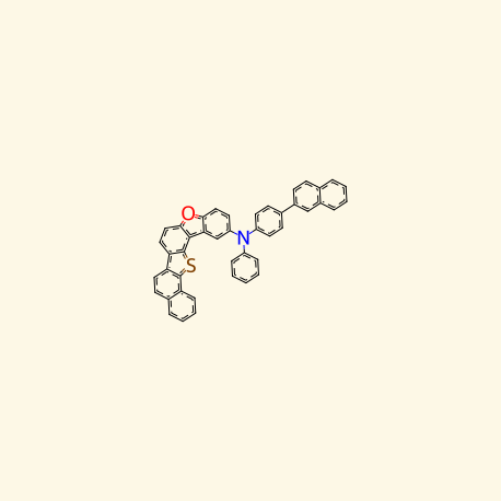 c1ccc(N(c2ccc(-c3ccc4ccccc4c3)cc2)c2ccc3oc4ccc5c6ccc7ccccc7c6sc5c4c3c2)cc1